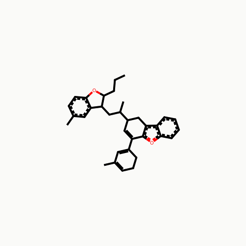 CCCC1Oc2ccc(C)cc2C1CC(C)C1C=C(C2=CC(C)=CCC2)c2oc3ccccc3c2C1